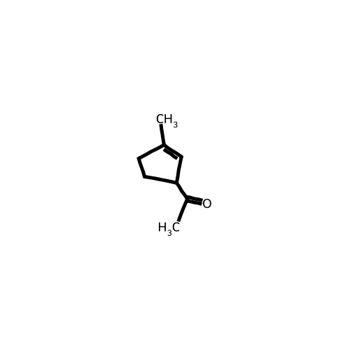 CC(=O)C1C=C(C)CC1